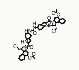 CC(=O)Oc1cc2c(c3ccccc13)C(CCl)CN2C(=O)c1cc2cc(NC(=O)Nc3ccc4[nH]c(C(=O)N5C[C@@H](CCl)c6c5cc(OC(C)=O)c5ccccc65)cc4c3)ccc2[nH]1